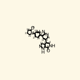 Nc1ncc(-c2c[nH]c(=O)c3[nH]ncc23)cc1-c1ccc(N2CCCC2=O)cc1